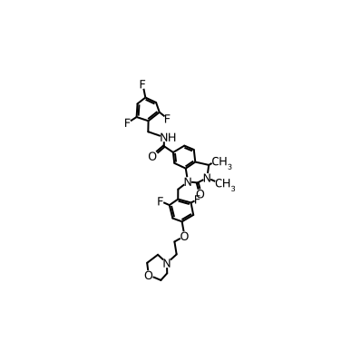 CC1c2ccc(C(=O)NCc3c(F)cc(F)cc3F)cc2N(Cc2c(F)cc(OCCN3CCOCC3)cc2F)C(=O)N1C